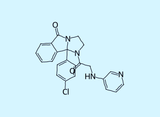 O=C(CNc1cccnc1)N1CCN2C(=O)c3ccccc3C12c1ccc(Cl)cc1